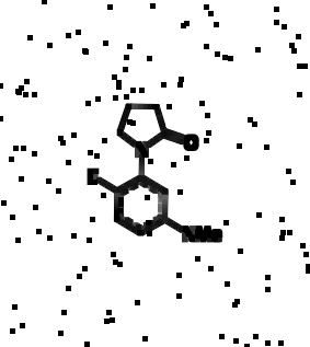 CNc1ccc(F)c(N2CCCC2=O)c1